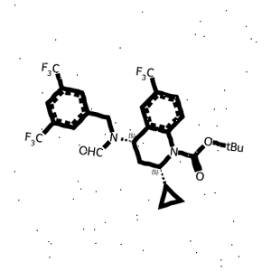 CC(C)(C)OC(=O)N1c2ccc(C(F)(F)F)cc2[C@@H](N(C=O)Cc2cc(C(F)(F)F)cc(C(F)(F)F)c2)C[C@H]1C1CC1